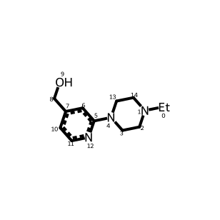 CCN1CCN(c2cc(CO)ccn2)CC1